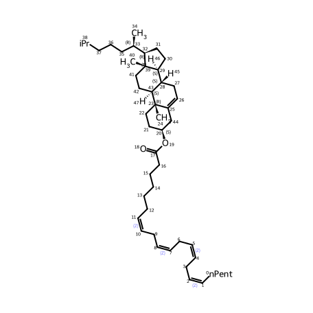 CCCCC/C=C\C/C=C\C/C=C\C/C=C\CCCCCC(=O)O[C@H]1CC[C@@]2(C)C(=CC[C@H]3[C@@H]4CC[C@H]([C@H](C)CCCC(C)C)[C@@]4(C)CC[C@@H]32)C1